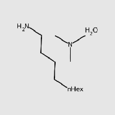 CCCCCCCCCCN.CN(C)C.O